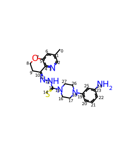 Cc1cnc2c(c1)OCC/C2=N/NC(=S)N1CCN(c2cccc(N)c2)CC1